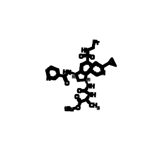 CC(C)CNS(=O)(=O)c1cc2c(c3cnc(C4CC4)cc13)[C@H](NC(=O)NC(C)C(=O)OC(C)(C)C)C[C@H]2NC(=O)c1cccnc1